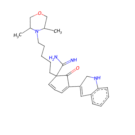 CC1COCC(C)N1CCCCCC1(C(=N)N)C=CC=C(C2=Cc3ccccc3NC2)C1=O